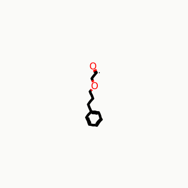 O=[C]COCCCc1ccccc1